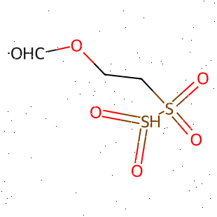 O=[C]OCCS(=O)(=O)[SH](=O)=O